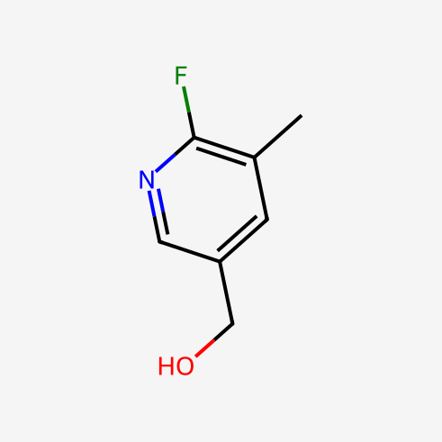 Cc1cc(CO)cnc1F